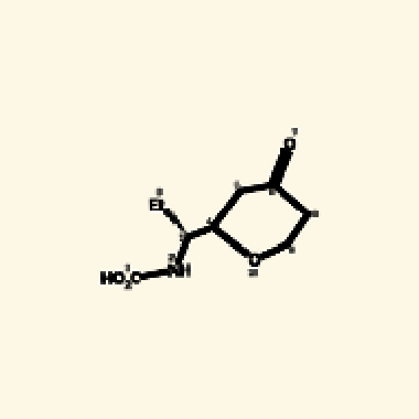 CC[C@@H](NC(=O)O)C1CC(=O)CCO1